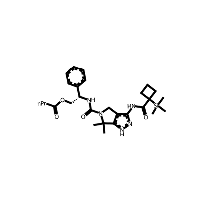 CCCC(=O)OC[C@@H](NC(=O)N1Cc2c(NC(=O)C3([Si](C)(C)C)CCC3)n[nH]c2C1(C)C)c1ccccc1